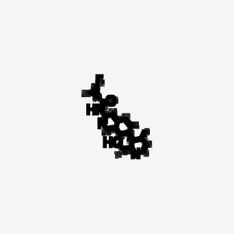 Cc1ccnc([C@H](C)O)c1-c1ccc2cc(NC(=O)[C@@H]3C[C@@H]3F)ncc2c1